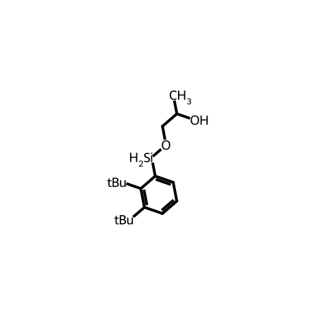 CC(O)CO[SiH2]c1cccc(C(C)(C)C)c1C(C)(C)C